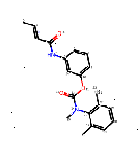 C/C=C/C(=O)Nc1cccc(OC(=O)N(C)c2c(C)cccc2C(C)(C)C)c1